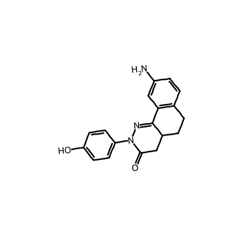 Nc1ccc2c(c1)C1=NN(c3ccc(O)cc3)C(=O)CC1CC2